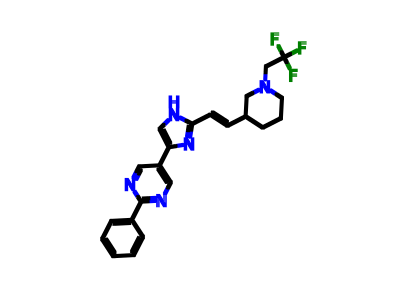 FC(F)(F)CN1CCCC(/C=C/c2nc(-c3cnc(-c4ccccc4)nc3)c[nH]2)C1